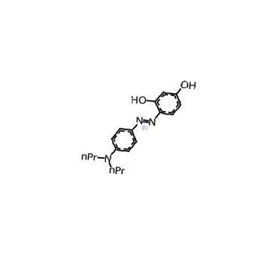 CCCN(CCC)c1ccc(/N=N/c2ccc(O)cc2O)cc1